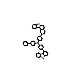 C1=CC(c2ccc(N(c3ccc(-c4ccccc4)cc3)c3ccc(C4C=Cc5ccc6oc7ccccc7c6c5C4)cc3)cc2)=C2c3ccccc3OC2C1